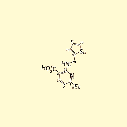 CCc1ccc(C(=O)O)c(NCc2cccs2)n1